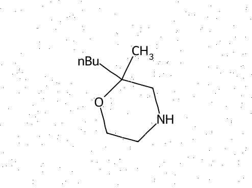 CCCCC1(C)CNCCO1